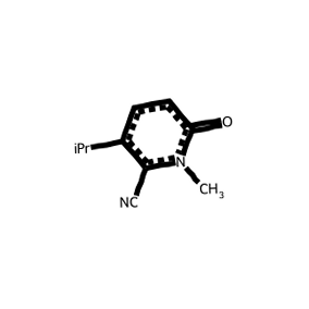 CC(C)c1ccc(=O)n(C)c1C#N